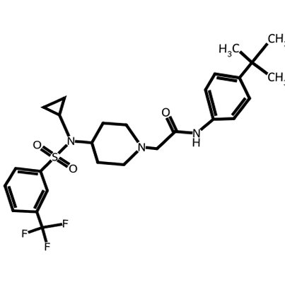 CC(C)(C)c1ccc(NC(=O)CN2CCC(N(C3CC3)S(=O)(=O)c3cccc(C(F)(F)F)c3)CC2)cc1